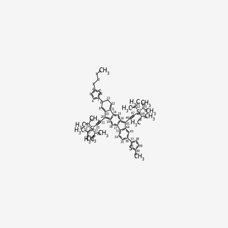 CCCCc1ccc(C2C=C3C(=CC2)c2cc4c(cc2=C3C#C[Si](C(C)C)(C(C)C)C(C)C)-c2ccc(-c3ccc(C)s3)cc2C=4C#C[Si](C(C)C)(C(C)C)C(C)C)s1